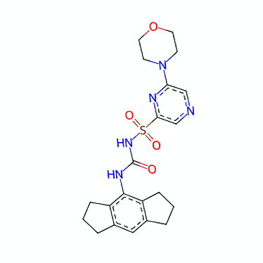 O=C(Nc1c2c(cc3c1CCC3)CCC2)NS(=O)(=O)c1cncc(N2CCOCC2)n1